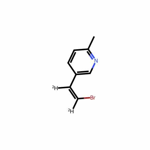 [2H]C(Br)=C([2H])c1ccc(C)nc1